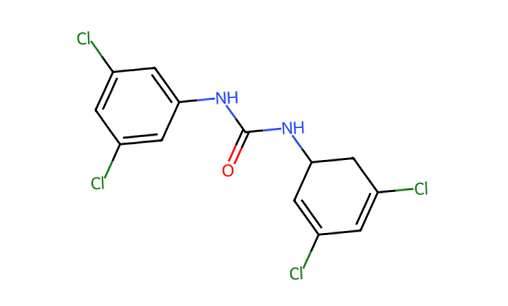 O=C(Nc1cc(Cl)cc(Cl)c1)NC1C=C(Cl)C=C(Cl)C1